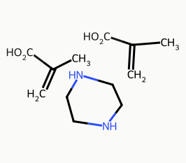 C1CNCCN1.C=C(C)C(=O)O.C=C(C)C(=O)O